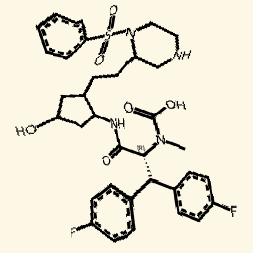 CN(C(=O)O)[C@@H](C(=O)NC1CC(O)CC1CCC1CNCCN1S(=O)(=O)c1ccccc1)C(c1ccc(F)cc1)c1ccc(F)cc1